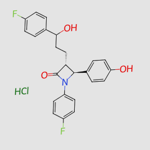 Cl.O=C1[C@H](CCC(O)c2ccc(F)cc2)[C@@H](c2ccc(O)cc2)N1c1ccc(F)cc1